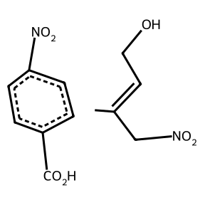 CC(=CCO)C[N+](=O)[O-].O=C(O)c1ccc([N+](=O)[O-])cc1